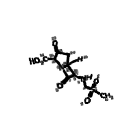 CS(=O)(=O)CN[C@H]1C(=O)N2[C@@H](C(=O)O)C(=O)C[C@H]12